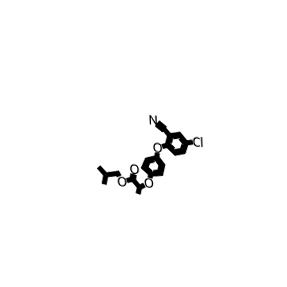 CC(C)COC(=O)C(C)Oc1ccc(Oc2ccc(Cl)cc2C#N)cc1